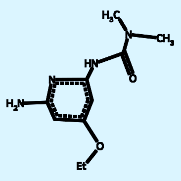 CCOc1cc(N)nc(NC(=O)N(C)C)c1